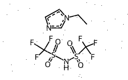 CCn1ccnc1.O=S(=O)(NS(=O)(=O)C(F)(F)F)C(F)(F)F